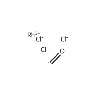 [C]=O.[Cl-].[Cl-].[Cl-].[Rh+3]